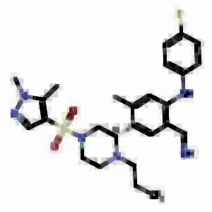 Cc1cc(Nc2ccc(F)cc2)c(C=N)cc1[C@H]1CN(S(=O)(=O)c2cnn(C)c2C)CCN1CCC(F)(F)F